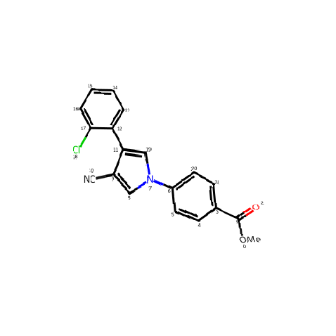 COC(=O)c1ccc(-n2cc(C#N)c(-c3ccccc3Cl)c2)cc1